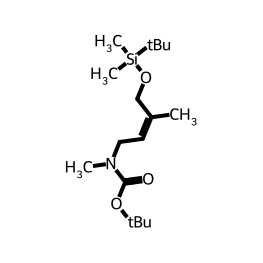 C/C(=C/CN(C)C(=O)OC(C)(C)C)CO[Si](C)(C)C(C)(C)C